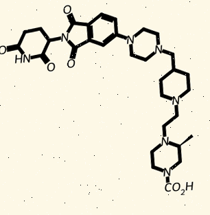 C[C@H]1CN(C(=O)O)CCN1CCN1CCC(CN2CCN(c3ccc4c(c3)C(=O)N(C3CCC(=O)NC3=O)C4=O)CC2)CC1